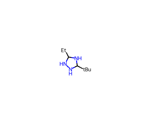 CCC1NNC(C(C)(C)C)N1